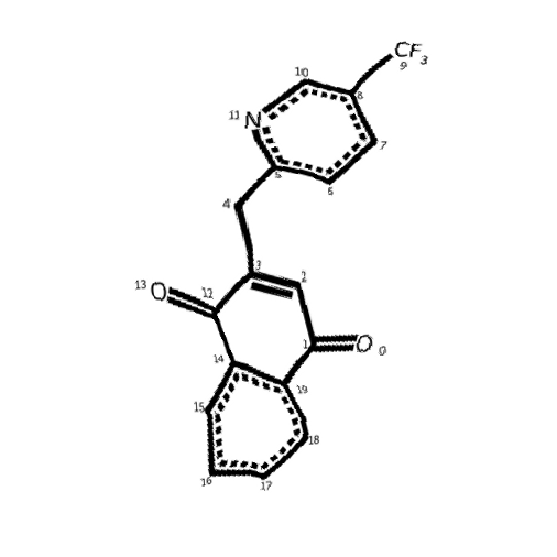 O=C1C=C(Cc2ccc(C(F)(F)F)cn2)C(=O)c2ccccc21